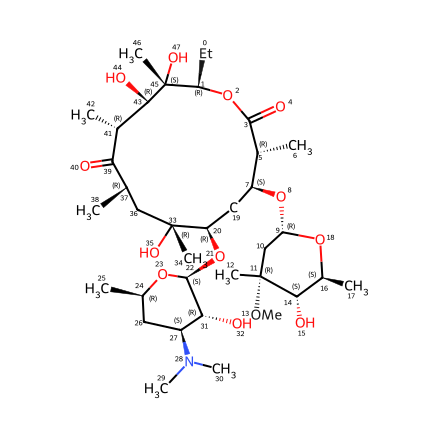 CC[C@H]1OC(=O)[C@H](C)[C@@H](O[C@H]2C[C@@](C)(OC)[C@@H](O)[C@H](C)O2)C[C@@H](O[C@@H]2O[C@H](C)C[C@H](N(C)C)[C@H]2O)[C@](C)(O)C[C@@H](C)C(=O)[C@H](C)[C@@H](O)[C@]1(C)O